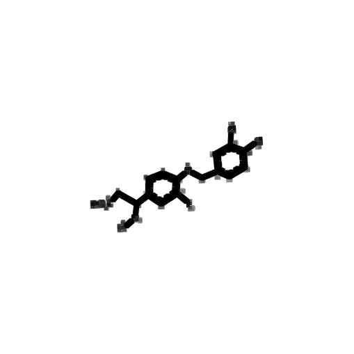 CCOC(=O)CC(OCC)c1ccc(OCc2ccc(Cl)c(Cl)c2)c(F)c1